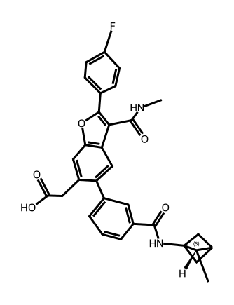 CNC(=O)c1c(-c2ccc(F)cc2)oc2cc(CC(=O)O)c(-c3cccc(C(=O)NC45CC(C4)[C@@H]5C)c3)cc12